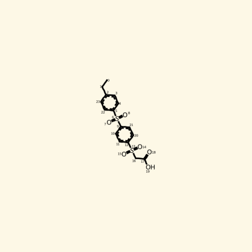 CCc1ccc(S(=O)(=O)c2ccc(S(=O)(=O)CC(=O)O)cc2)cc1